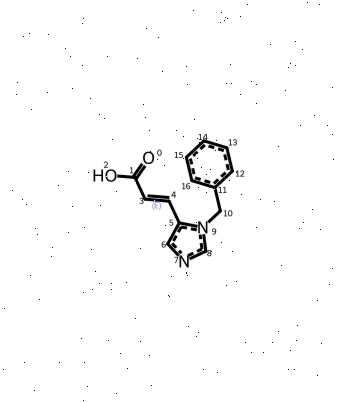 O=C(O)/C=C/c1cncn1Cc1ccccc1